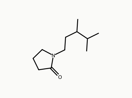 CC(C)C(C)CCN1CCCC1=O